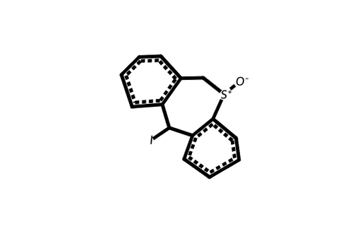 [O-][S+]1Cc2ccccc2C(I)c2ccccc21